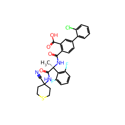 C[C@@](NC(=O)c1ccc(-c2ccccc2Cl)cc1C(=O)O)(C(=O)NC1(C#N)CCSCC1)c1c(F)cccc1F